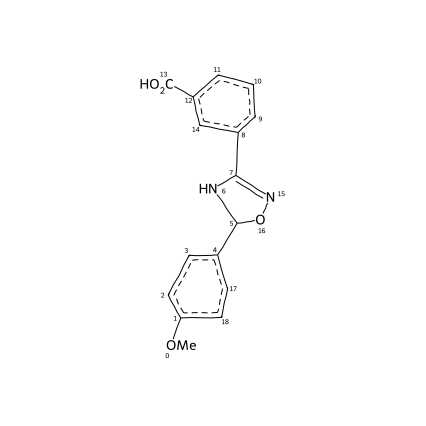 COc1ccc(C2NC(c3cccc(C(=O)O)c3)=NO2)cc1